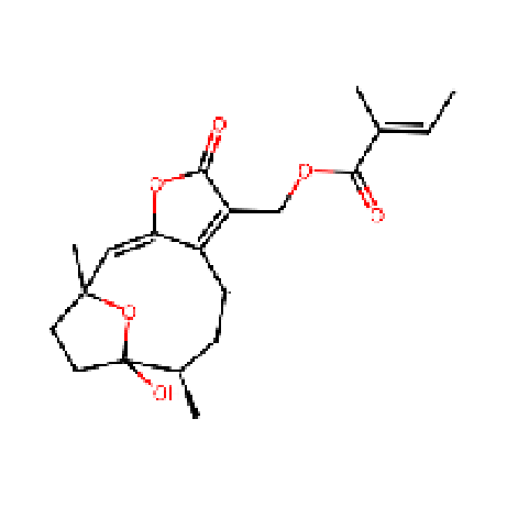 C/C=C(\C)C(=O)OCC1=C2[CH]C[C@@H](C)C3(O)CCC(C)(/C=C\2OC1=O)O3